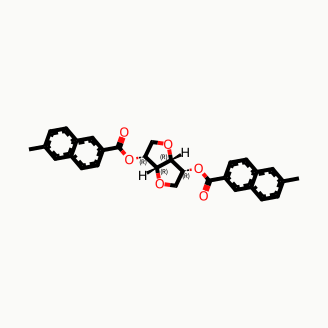 Cc1ccc2cc(C(=O)O[C@@H]3CO[C@H]4[C@@H]3OC[C@H]4OC(=O)c3ccc4cc(C)ccc4c3)ccc2c1